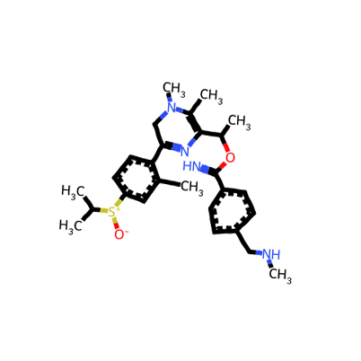 CNCc1ccc(C(=N)OC(C)C2=C(C)N(C)CC(c3ccc([S+]([O-])C(C)C)cc3C)=N2)cc1